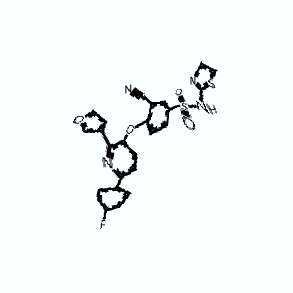 N#Cc1cc(S(=O)(=O)Nc2nccs2)ccc1Oc1ccc(-c2ccc(F)cc2)nc1-c1ccoc1